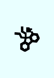 C=CCC1(CC=C)c2ccccc2-c2cccc(Br)c21